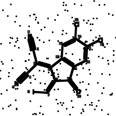 N#CC(C#N)=C1/C(=C\I)C(=O)c2cc(Cl)c(Cl)cc21